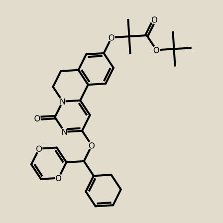 CC(C)(C)OC(=O)C(C)(C)Oc1ccc2c(c1)CCn1c-2cc(OC(C2=CC=CCC2)C2=COC=CO2)nc1=O